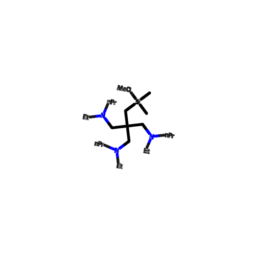 CCCN(CC)CC(CN(CC)CCC)(CN(CC)CCC)C[Si](C)(C)OC